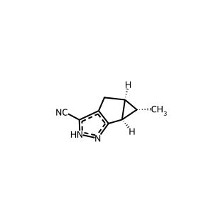 C[C@H]1[C@@H]2Cc3c(n[nH]c3C#N)[C@H]12